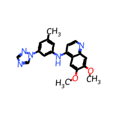 COc1cc2nccc(Nc3cc(C)cc(-n4cncn4)c3)c2cc1OC